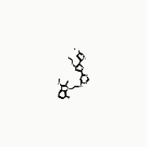 CCOc1cc(-c2cc(NCCn3c(C)c(OC)c4cccc(F)c43)ncn2)sc1-c1cc(O)no1